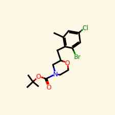 Cc1cc(Cl)cc(Br)c1CC1CN(C(=O)OC(C)(C)C)CCO1